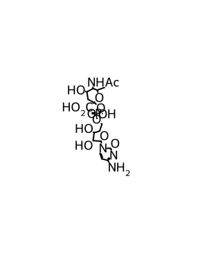 CC(=O)NC1C(O)CC(OP(=O)(O)OCC2OC(n3ccc(N)nc3=O)C(O)C2O)(C(=O)O)OC1C